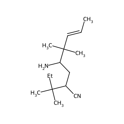 CC=CC(C)(C)C(N)CC(C#N)C(C)(C)CC